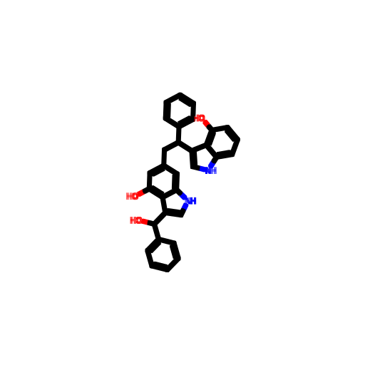 Oc1cc(CC(c2ccccc2)c2c[nH]c3cccc(O)c23)cc2[nH]cc(C(O)c3ccccc3)c12